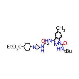 CCOC(=O)C1CCC(N2CC(NC(=O)CNc3nn(C(=O)NC(C)(C)C)c4ccc(C)cc34)C2)CC1